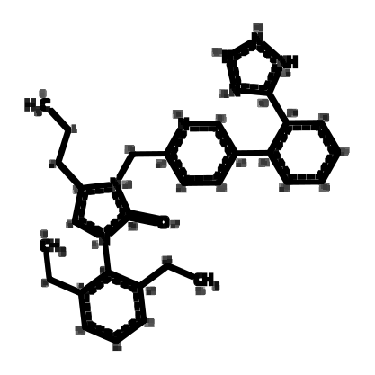 CCCc1cn(-c2c(CC)cccc2CC)c(=O)n1Cc1ccc(-c2ccccc2-c2nnn[nH]2)cn1